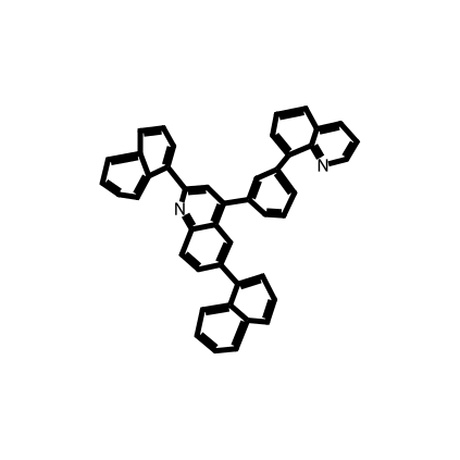 c1cc(-c2cc(-c3cccc4ccccc34)nc3ccc(-c4cccc5ccccc45)cc23)cc(-c2cccc3cccnc23)c1